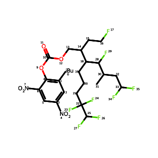 CCC(C)c1cc([N+](=O)[O-])cc([N+](=O)[O-])c1OC(=O)OCC(CCF)C(CCCC(F)(F)C(F)F)C(F)C(C)CC(F)F